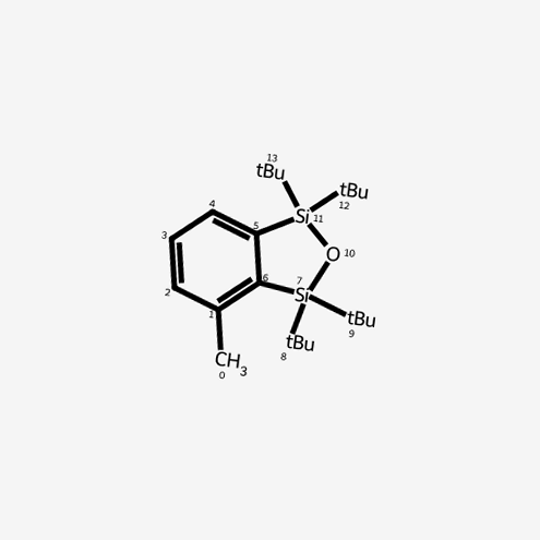 Cc1cccc2c1[Si](C(C)(C)C)(C(C)(C)C)O[Si]2(C(C)(C)C)C(C)(C)C